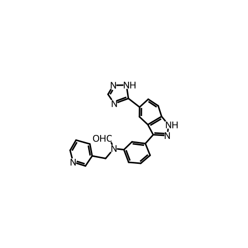 O=CN(Cc1cccnc1)c1cccc(-c2n[nH]c3ccc(-c4ncn[nH]4)cc23)c1